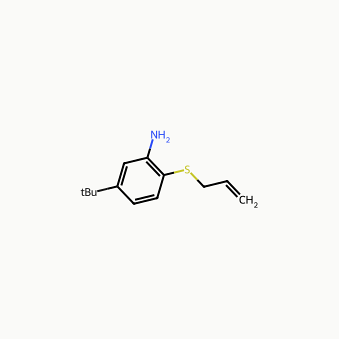 C=CCSc1ccc(C(C)(C)C)cc1N